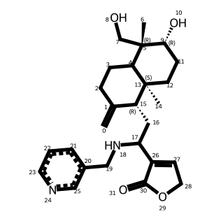 C=C1CCC2[C@](C)(CO)[C@H](O)CC[C@@]2(C)[C@@H]1CC(NCc1cccnc1)C1=CCOC1=O